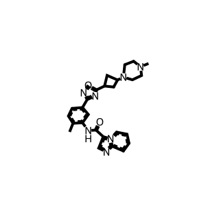 Cc1ccc(-c2noc(C3CC(N4CCN(C)CC4)C3)n2)cc1NC(=O)c1cnc2ccccn12